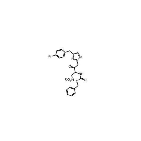 CC(C)c1ccc(Sc2nnn(CC(=O)C(CC(=O)O)NC(=O)OCc3ccccc3)n2)cc1